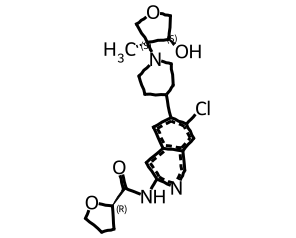 C[C@]1(N2CCC(c3cc4cc(NC(=O)[C@H]5CCCO5)ncc4cc3Cl)CC2)COC[C@H]1O